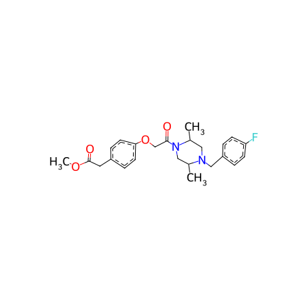 COC(=O)Cc1ccc(OCC(=O)N2CC(C)N(Cc3ccc(F)cc3)CC2C)cc1